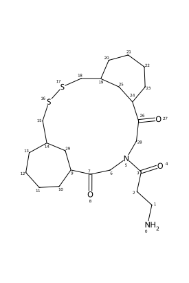 NCCC(=O)N1CC(=O)C2CCCCC(CSSCC3CCCCC(C3)C(=O)C1)C2